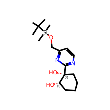 CC(C)(C)[Si](C)(C)OCc1ccnc([C@@]2(O)CCCC[C@@H]2O)n1